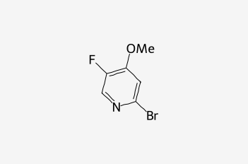 COc1cc(Br)ncc1F